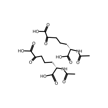 CC(=O)N[C@@H](CCCC(=O)C(=O)O)C(=O)O.CC(=O)N[C@@H](CCCC(=O)C(=O)O)C(=O)O